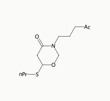 CCCSC1CC(=O)N(CCCC(C)=O)CO1